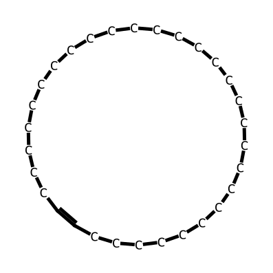 C1=CCCCCCCCCCCCCCCCCCCCCCCCCCCCC1